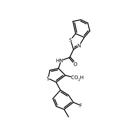 Cc1ccc(-c2scc(NC(=O)c3nc4ccccc4s3)c2C(=O)O)cc1F